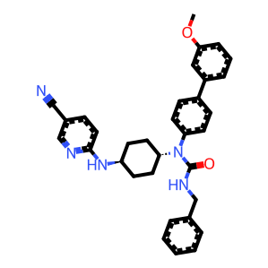 COc1cccc(-c2ccc(N(C(=O)NCc3ccccc3)[C@H]3CC[C@H](Nc4ccc(C#N)cn4)CC3)cc2)c1